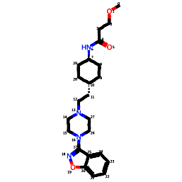 COCCC(=O)N[C@H]1CC[C@H](CCN2CCN(c3noc4ccccc34)CC2)CC1